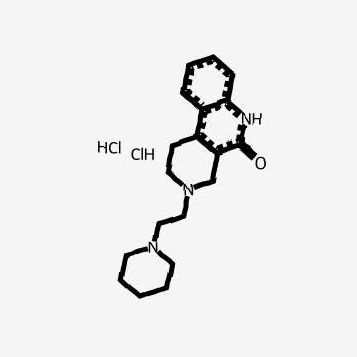 Cl.Cl.O=c1[nH]c2ccccc2c2c1CN(CCN1CCCCC1)CC2